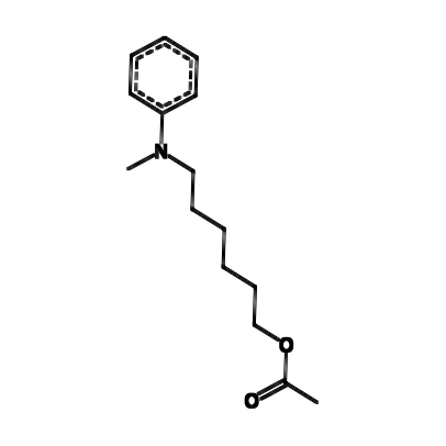 CC(=O)OCCCCCCN(C)c1ccccc1